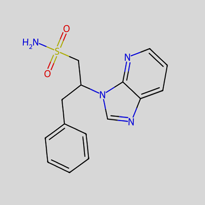 NS(=O)(=O)CC(Cc1ccccc1)n1cnc2cccnc21